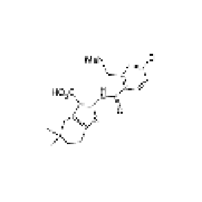 CNCc1cc(Cl)ccc1C(=O)Nc1sc2c(c1C(=O)O)CC(C)(C)CC2